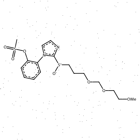 COCCOCOCCC[S+]([O-])c1nccn1-c1ccccc1OS(C)(=O)=O